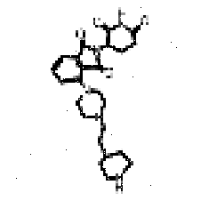 O=C1CCC(N2C(=O)c3cccc(N4CCN(CCC5CCNCC5)CC4)c3C2=O)C(=O)N1